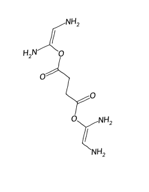 NC=C(N)OC(=O)CCC(=O)OC(N)=CN